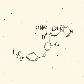 COC(=O)C(O)(Cn1cncn1)c1ccc(Oc2ccc(OC(F)(F)F)cc2)cc1Cl